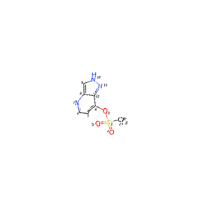 O=S(=O)(Oc1ccnc2c[nH]nc12)C(F)(F)F